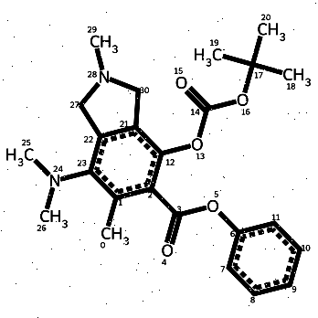 Cc1c(C(=O)Oc2ccccc2)c(OC(=O)OC(C)(C)C)c2c(c1N(C)C)CN(C)C2